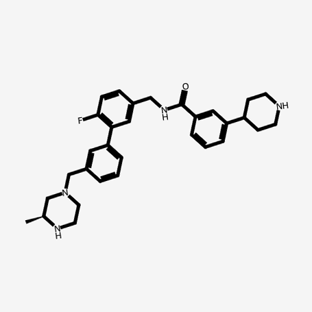 C[C@H]1CN(Cc2cccc(-c3cc(CNC(=O)c4cccc(C5CCNCC5)c4)ccc3F)c2)CCN1